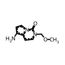 COCn1ccc2c(N)ccn2c1=O